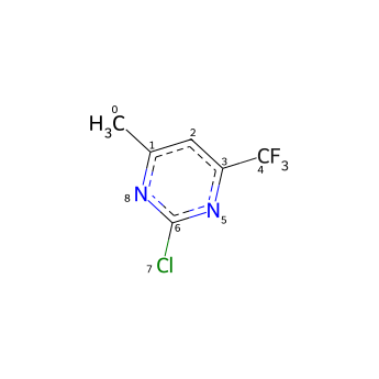 Cc1cc(C(F)(F)F)nc(Cl)n1